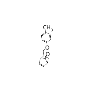 Cc1ccc(OCC2CC3C=CC2C3=O)cc1